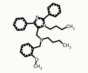 CCCCN(Cc1ccccc1OC)Cc1c(-c2ccccc2)nc(-c2ccccc2)n1CCCC